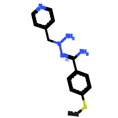 CNSc1ccc(/C(N)=N/N(N)Cc2ccncc2)cc1